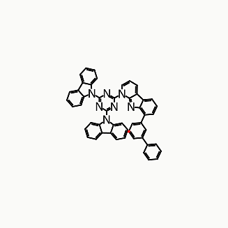 c1ccc(-c2cccc(-c3cccc4c5cccn(-c6nc(-n7c8ccccc8c8ccccc87)nc(-n7c8ccccc8c8ccccc87)n6)c-5nc34)c2)cc1